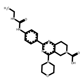 CCNC(=O)Nc1ccc(-c2nc3c(c(N4CCOCC4)n2)CN(C(=O)O)CC3)cc1